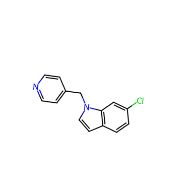 Clc1ccc2ccn(Cc3ccncc3)c2c1